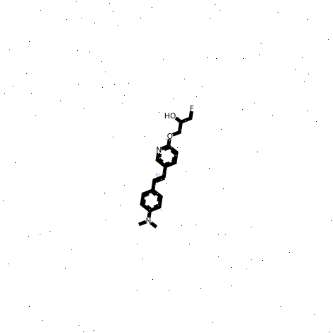 CN(C)c1ccc(/C=C/c2ccc(OCC(O)CF)nc2)cc1